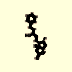 C[C@@H]1CC2OC(=O)C[C@@H]2[C@H]1/C=C/[C@@H](O)CCc1ccccc1